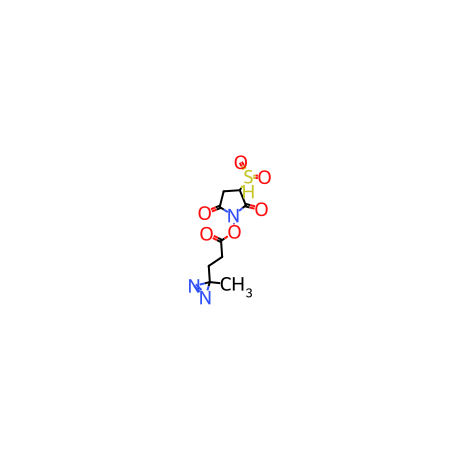 CC1(CCC(=O)ON2C(=O)CC([SH](=O)=O)C2=O)N=N1